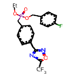 CCOP(=O)(Cc1ccc(-c2noc(C(F)(F)F)n2)cc1)OCc1ccc(F)cc1